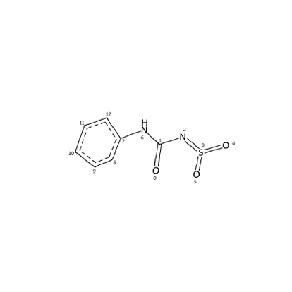 O=C(N=S(=O)=O)Nc1ccccc1